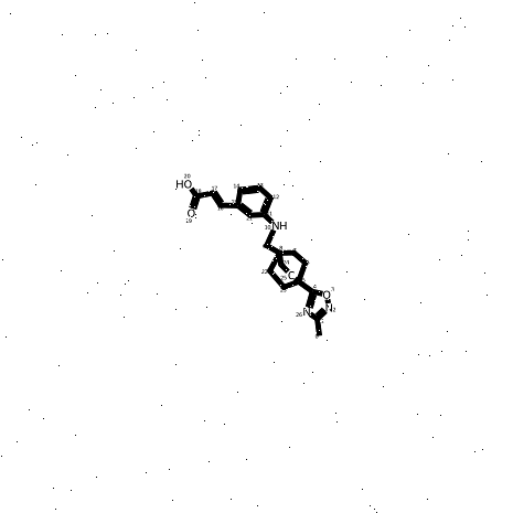 Cc1noc(C23CCC(CNc4cccc(/C=C/C(=O)O)c4)(CC2)CC3)n1